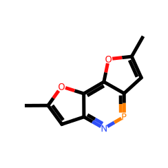 Cc1cc2npc3cc(C)oc3c2o1